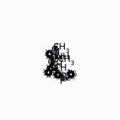 CNC(=O)/C(=N/OC)c1ccccc1CONC1=Cc2ccccc2C1C(C)c1cccc(O/C(F)=C\c2ccccc2)c1